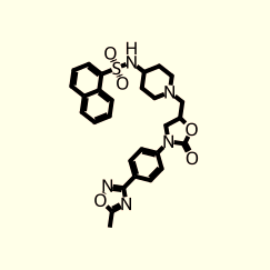 Cc1nc(-c2ccc(N3CC(CN4CCC(NS(=O)(=O)c5cccc6ccccc56)CC4)OC3=O)cc2)no1